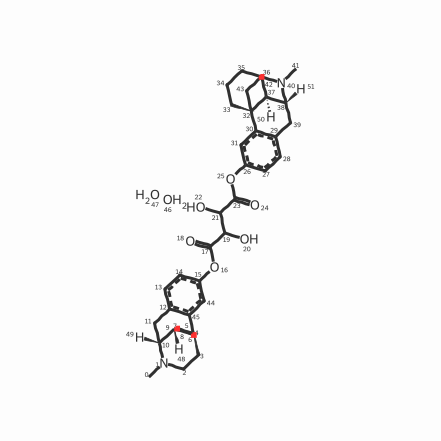 CN1CC[C@]23CCCC[C@H]2[C@H]1Cc1ccc(OC(=O)C(O)C(O)C(=O)Oc2ccc4c(c2)[C@@]25CCCC[C@H]2[C@@H](C4)N(C)CC5)cc13.O.O